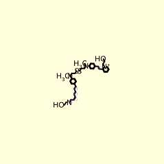 CN(CCSSCCN(C)c1ccc(/C=C/c2cccc[n+]2CCO)cc1)c1ccc(/C=C/C=C/C=C\C=N\CCO)cc1